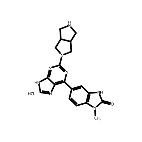 Cl.Cn1c(=O)[nH]c2cc(-c3nc(N4CC5CNCC5C4)nc4[nH]cnc34)ccc21